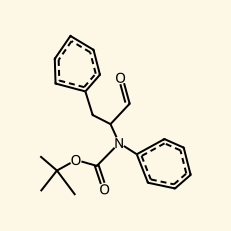 CC(C)(C)OC(=O)N(c1ccccc1)C(C=O)Cc1ccccc1